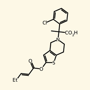 CCC=CC(=O)Oc1cc2c(s1)CCN(C(C)(C(=O)O)c1ccccc1Cl)C2